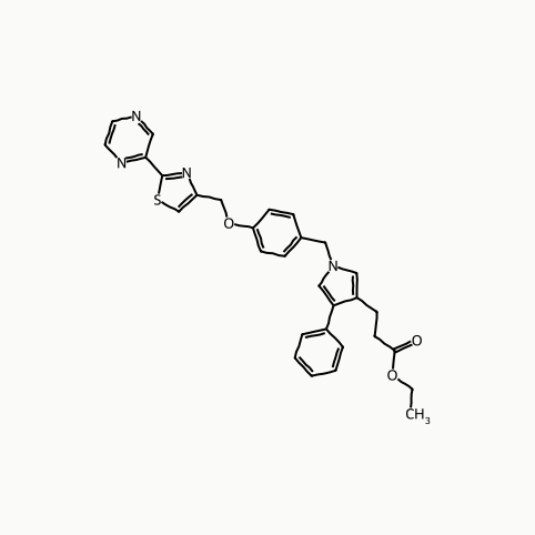 CCOC(=O)CCc1cn(Cc2ccc(OCc3csc(-c4cnccn4)n3)cc2)cc1-c1ccccc1